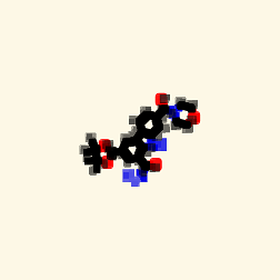 CC1(C)OB(c2cc(C(N)=O)c3[nH]c4cc(C(=O)N5CCOCC5)ccc4c3c2)OC1(C)C